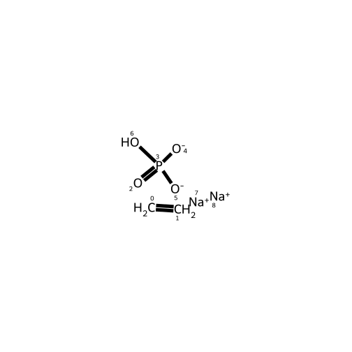 C=C.O=P([O-])([O-])O.[Na+].[Na+]